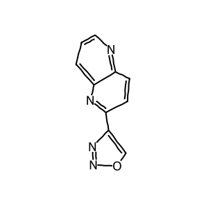 c1cnc2ccc(-c3conn3)nc2c1